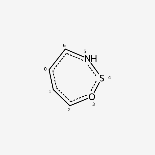 c1ccos[nH]c1